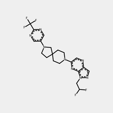 FC(F)Cn1ncc2ncc(N3CCC4(CCN(c5cnc(C(F)(F)F)nc5)C4)CC3)nc21